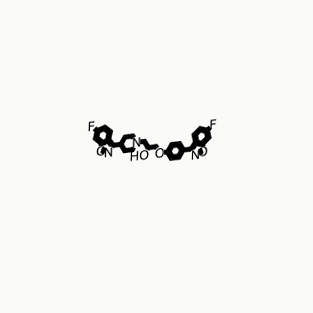 OC(COc1ccc(-c2noc3cc(F)ccc23)cc1)CN1CCC(c2noc3cc(F)ccc23)CC1